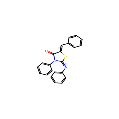 O=C1/C(=C/c2ccccc2)S/C(=N/c2ccccc2)N1c1ccccc1